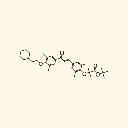 Cc1cc(C(=O)C=Cc2cc(C)c(OC(C)(C)C(=O)OC(C)(C)C)c(C)c2)cc(C)c1OCCC1CCCCC1